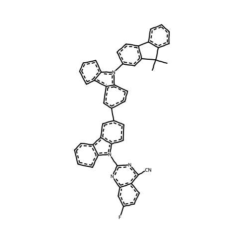 CC1(C)c2ccccc2-c2ccc(-n3c4ccccc4c4cc(-c5ccc6c(c5)c5ccccc5n6-c5nc(C#N)c6ccc(F)cc6n5)ccc43)cc21